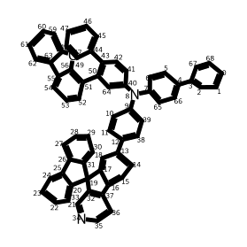 c1ccc(-c2ccc(N(c3ccc(-c4ccc5c(c4)C4(c6ccccc6-c6ccccc64)c4cnccc4-5)cc3)c3ccc(-c4ccccc4)c(-c4cccc5c4oc4ccccc45)c3)cc2)cc1